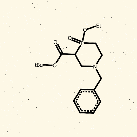 CCOP1(=O)CCN(Cc2ccccc2)CC1C(=O)OC(C)(C)C